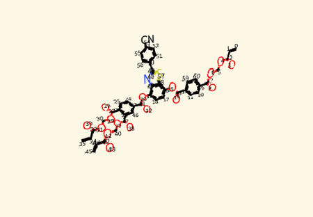 C=CC(=O)OCOC(=O)c1ccc(C(=O)Oc2ccc(OC(=O)c3ccc(C(=O)OCOC(=O)C=C)c(C(=O)OCOC(=O)C=C)c3)c3nc(-c4ccc(C#N)cc4)sc23)cc1